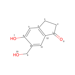 O=C1CCc2cc(O)c(CO)cc21